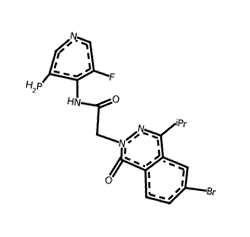 CC(C)c1nn(CC(=O)Nc2c(F)cncc2P)c(=O)c2ccc(Br)cc12